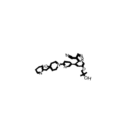 CC(C)(O)COc1cc(-c2ccc(N3CCC(O)(CC4=CCCC=N4)CC3)nc2)c2c(C#N)cnn2c1